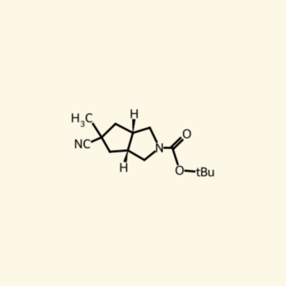 CC1(C#N)C[C@H]2CN(C(=O)OC(C)(C)C)C[C@H]2C1